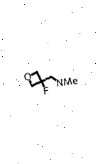 CNCC1(F)COC1